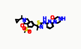 Cc1nc(Nc2cccc(N3CCNCC3=O)n2)sc1-c1cc2c(c(S(C)(=O)=O)c1)C(=O)N(C(C)C1CC1)C2